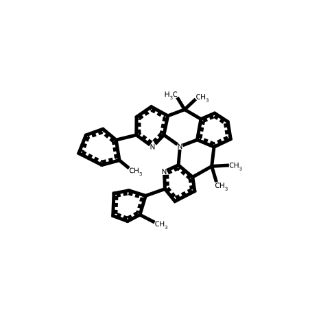 Cc1ccccc1-c1ccc2c(n1)N1c3nc(-c4ccccc4C)ccc3C(C)(C)c3cccc(c31)C2(C)C